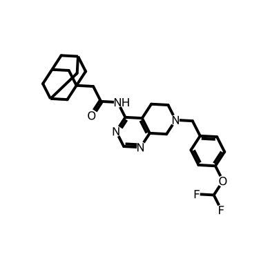 O=C(CC12CC3CC(CC(C3)C1)C2)Nc1ncnc2c1CCN(Cc1ccc(OC(F)F)cc1)C2